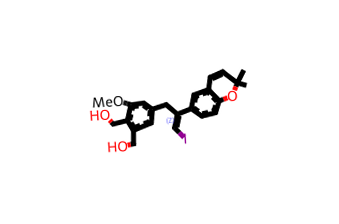 COc1cc(C/C(=C/I)c2ccc3c(c2)C=CC(C)(C)O3)cc(CO)c1CO